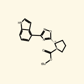 CC(C)(C)OC(=O)N1CCC[C@H]1c1nc(-c2cccc3[nH]ccc23)no1